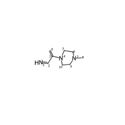 C=C(C=N)N1CCN(C)CC1